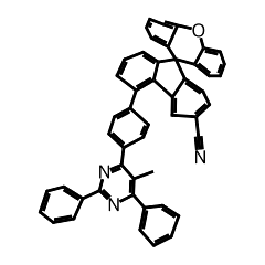 Cc1c(-c2ccccc2)nc(-c2ccccc2)nc1-c1ccc(-c2cccc3c2-c2cc(C#N)ccc2C32c3ccccc3Oc3ccccc32)cc1